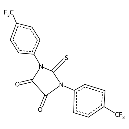 O=C1C(=O)N(c2ccc(C(F)(F)F)cc2)C(=S)N1c1ccc(C(F)(F)F)cc1